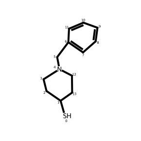 SC1CCN(Cc2ccccc2)CC1